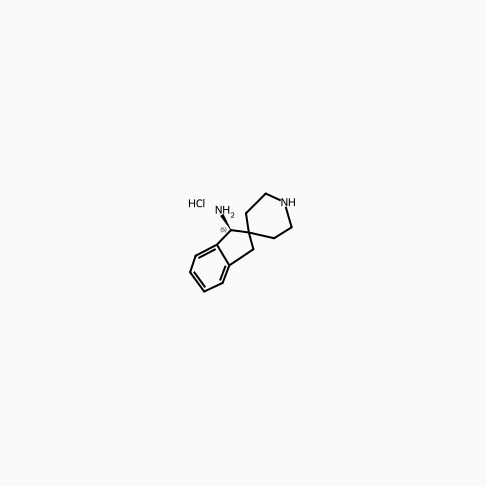 Cl.N[C@@H]1c2ccccc2CC12CCNCC2